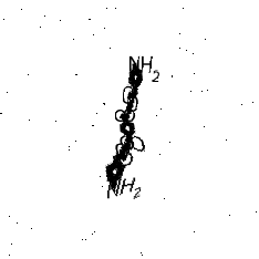 Nc1ccc(CC(=O)OCOC(=O)C2CCC(C(=O)OCOC(=O)Cc3ccc(N)cc3)CC2)cc1